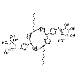 CCCCCCc1c2nc(c(-c3ccc(O[C@@H]4OC(CO)[C@@H](O)C(O)C4O)cc3)c3ccc([nH]3)c(CCCCCC)c3nc(c(-c4ccc(OC5CC(O)(CO)C(O)[C@@H](CO)O5)cc4)c4ccc1[nH]4)C=C3)C=C2